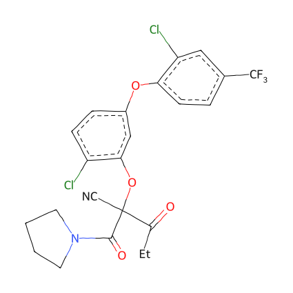 CCC(=O)C(C#N)(Oc1cc(Oc2ccc(C(F)(F)F)cc2Cl)ccc1Cl)C(=O)N1CCCC1